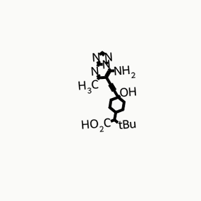 Cc1nc2ncnn2c(N)c1C#CC1(O)CCC(C(C(=O)O)C(C)(C)C)CC1